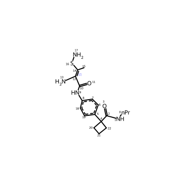 CCCNC(=O)C1(c2ccc(NC(=O)/C(N)=C(\C)SN)cc2)CCC1